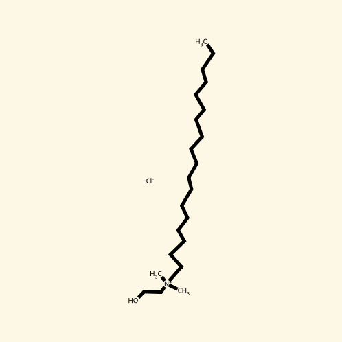 CCCCCCCCCCCCCCCCCC[N+](C)(C)CCO.[Cl-]